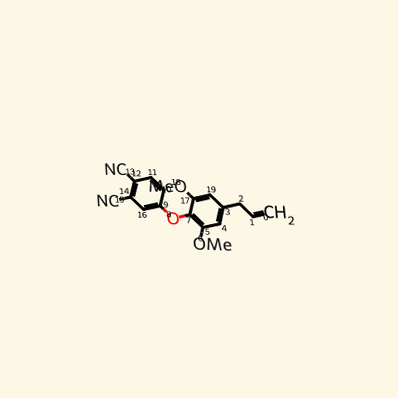 C=CCc1cc(OC)c(Oc2ccc(C#N)c(C#N)c2)c(OC)c1